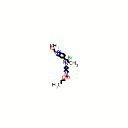 CCCCOC(=O)N1CC2(CC(n3nc(-c4ccc5nn(CCOC)cc5c4)c(Br)c3C)C2)C1